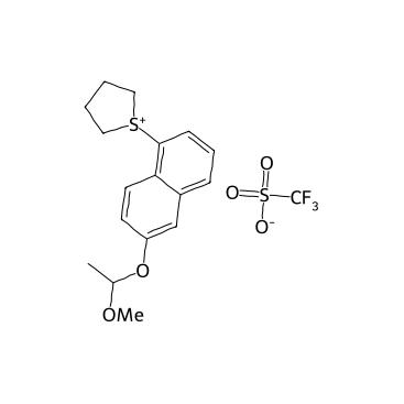 COC(C)Oc1ccc2c([S+]3CCCC3)cccc2c1.O=S(=O)([O-])C(F)(F)F